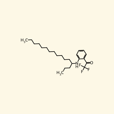 CCCCCCCCCCCCC(CCC)Nc1ccccc1C(=O)C(F)(F)F